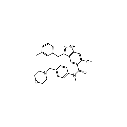 Cc1cccc(Cc2n[nH]c3cc(O)c(C(=O)N(C)c4ccc(CN5CCOCC5)cc4)cc23)c1